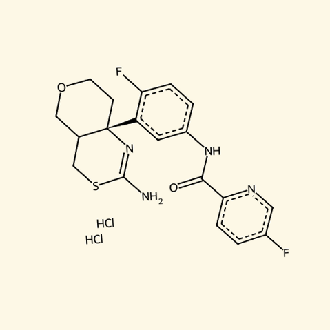 Cl.Cl.NC1=N[C@@]2(c3cc(NC(=O)c4ccc(F)cn4)ccc3F)CCOCC2CS1